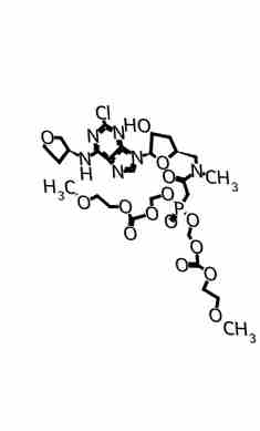 COCCOC(=O)OCOP(=O)(CC(=O)N(C)C[C@@H]1C[C@@H](O)[C@H](n2cnc3c(N[C@H]4CCOC4)nc(Cl)nc32)O1)OCOC(=O)OCCOC